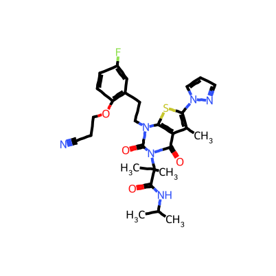 Cc1c(-n2cccn2)sc2c1c(=O)n(C(C)(C)C(=O)NC(C)C)c(=O)n2CCc1cc(F)ccc1OCCC#N